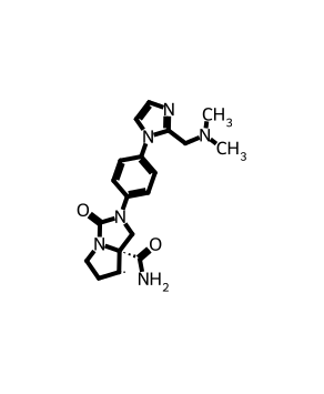 CN(C)Cc1nccn1-c1ccc(N2C[C@@]3(C(N)=O)[CH]CCN3C2=O)cc1